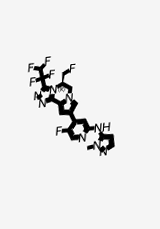 Cn1nccc1Nc1cc(-c2cc3n(c2)C[C@H](CF)n2c-3nnc2C(F)(F)C(F)F)c(F)cn1